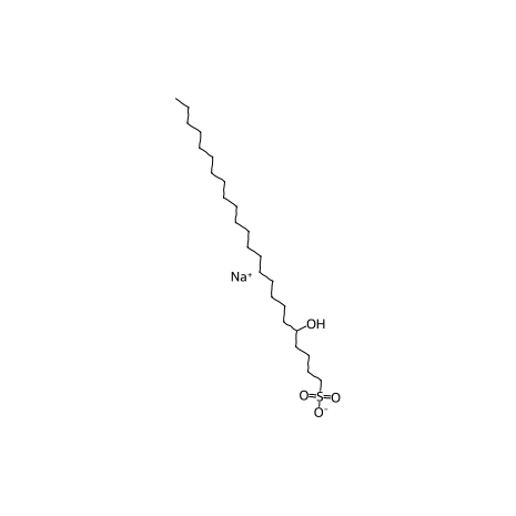 CCCCCCCCCCCCCCCCCCCC(O)CCCCS(=O)(=O)[O-].[Na+]